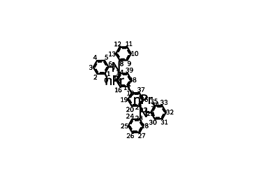 CCCc1ccccc1N(c1ccccc1)c1ccc(-c2ccc(N(c3ccccc3)c3ccccc3CCC)cc2)cc1